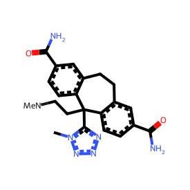 CNCCC1(c2nnnn2C)c2ccc(C(N)=O)cc2CCc2cc(C(N)=O)ccc21